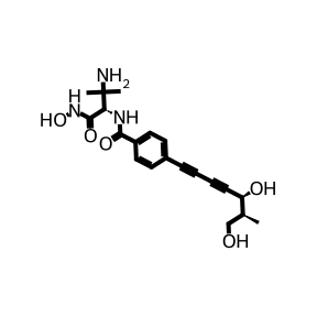 C[C@@H](CO)[C@H](O)C#CC#Cc1ccc(C(=O)N[C@H](C(=O)NO)C(C)(C)N)cc1